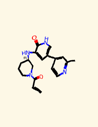 C=CC(=O)N1CCC[C@@H](Nc2cc(-c3ccnc(C)c3)c[nH]c2=O)C1